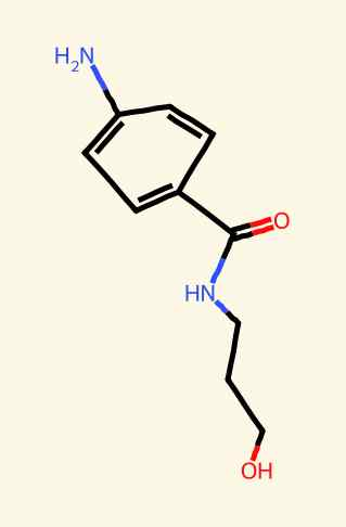 Nc1ccc(C(=O)NCCCO)cc1